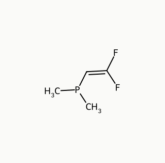 CP(C)C=C(F)F